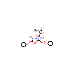 CC[C@H](C)C1C(=O)OC1C(=O)NC(COCc1ccccc1)C(=O)NC(C(=O)OCc1ccccc1)C(C)C